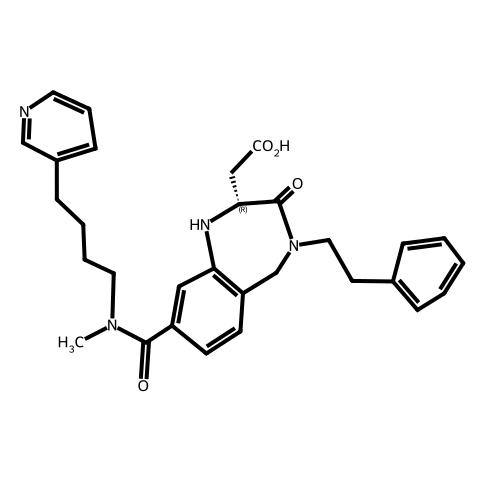 CN(CCCCc1cccnc1)C(=O)c1ccc2c(c1)N[C@H](CC(=O)O)C(=O)N(CCc1ccccc1)C2